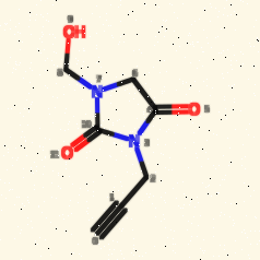 C#CCN1C(=O)CN(CO)C1=O